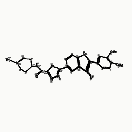 CCc1c(-c2ccc(OC)c(OC)c2)[nH]c2ccc(-c3nnc(C(=O)NC4CCN(C(C)C)CC4)o3)cc12